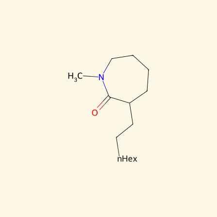 CCCCCCCCC1CCCCN(C)C1=O